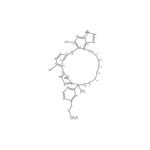 CC1(c2cccc(CCC(=O)O)c2)CCCCCSCCc2c(c(F)cc3[nH]ccc23)Oc2ccc(F)c(c2)-c2ncc1[nH]2